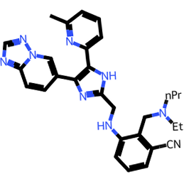 CCCN(CC)Cc1c(C#N)cccc1NCc1nc(-c2ccc3ncnn3c2)c(-c2cccc(C)n2)[nH]1